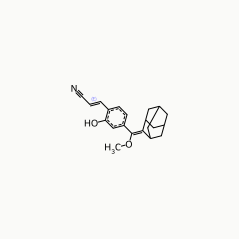 COC(=C1C2CC3CC(C2)CC1C3)c1ccc(/C=C/C#N)c(O)c1